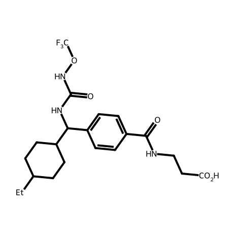 CCC1CCC(C(NC(=O)NOC(F)(F)F)c2ccc(C(=O)NCCC(=O)O)cc2)CC1